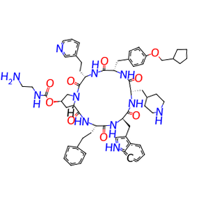 NCCNC(=O)O[C@@H]1C[C@H]2C(=O)N[C@@H](CCc3ccccc3)C(=O)N[C@H](Cc3c[nH]c4ccccc34)C(=O)N[C@@H](CC3CCNCC3)C(=O)N[C@@H](Cc3ccc(OCC4CCCC4)cc3)C(=O)N[C@@H](CCc3cccnc3)C(=O)N2C1